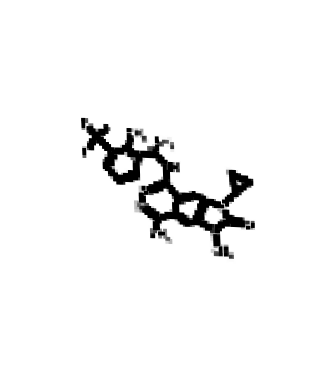 Cc1c([C@@H](C)Nc2nnc(C)c3cc4c(cc23)n(C2CC2)c(=O)n4C)cccc1C(F)(F)F